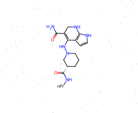 CCCNC(=O)[C@H]1CCCN(NC2=C(C(N)=O)CNc3[nH]ccc32)C1